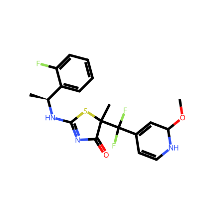 COC1C=C(C(F)(F)C2(C)SC(N[C@@H](C)c3ccccc3F)=NC2=O)C=CN1